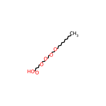 CCCCCCCCCCOCCOCCOCCOCCCC(=O)O